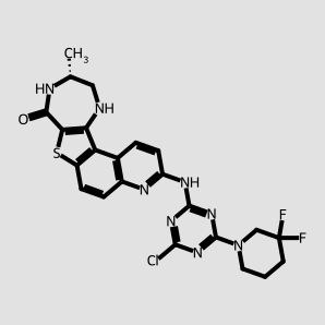 C[C@@H]1CNc2c(sc3ccc4nc(Nc5nc(Cl)nc(N6CCCC(F)(F)C6)n5)ccc4c23)C(=O)N1